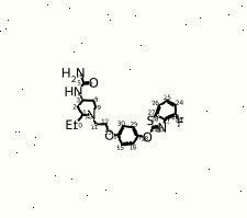 CCC1C[C@@H](NC(N)=O)CCN1CCOc1ccc(Oc2nc3c(F)cccc3s2)cc1